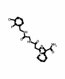 NC(=O)c1nc(CC(=O)NCC(=O)NCc2cccc(Cl)c2F)n2ccccc12